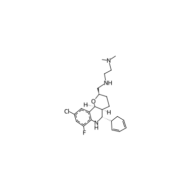 CN(C)CCNC[C@H]1CC[C@@H]2[C@H](O1)c1cc(Cl)cc(F)c1N[C@H]2C1C=CC=CC1